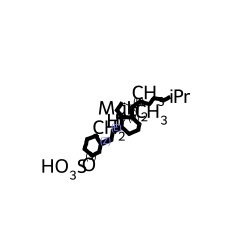 C=C1CC[C@H](OS(=O)(=O)O)C/C1=C/C=C1\CCC[C@]2(C)[C@@H]([C@H](C)CCCC(C)C)CC[C@@H]12.[MgH2]